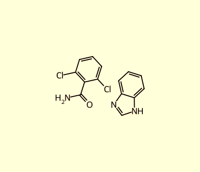 NC(=O)c1c(Cl)cccc1Cl.c1ccc2[nH]cnc2c1